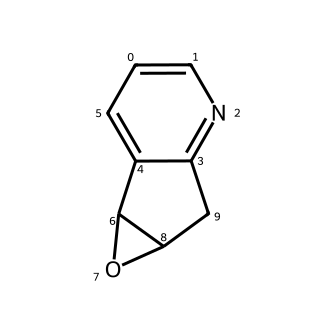 c1cnc2c(c1)C1OC1C2